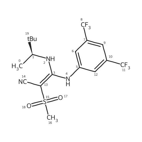 C[C@H](NC(Nc1cc(C(F)(F)F)cc(C(F)(F)F)c1)=C(C#N)S(C)(=O)=O)C(C)(C)C